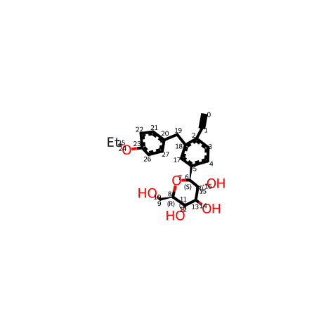 C#Cc1ccc([C@@H]2O[C@H](CO)[C@@H](O)C(O)[C@H]2O)cc1Cc1ccc(OCC)cc1